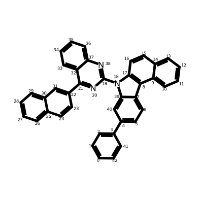 c1ccc(-c2ccc3c4c5ccccc5ccc4n(-c4nc(-c5ccc6ccccc6c5)c5ccccc5n4)c3c2)cc1